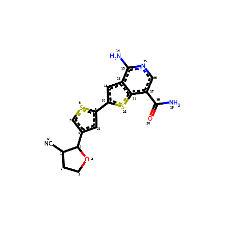 N#CC1CCOC1c1csc(-c2cc3c(N)ncc(C(N)=O)c3s2)c1